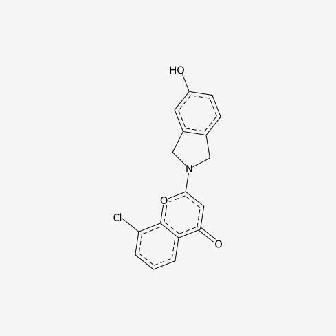 O=c1cc(N2Cc3ccc(O)cc3C2)oc2c(Cl)cccc12